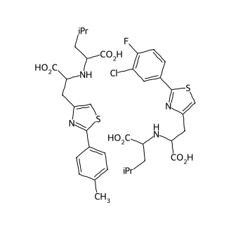 CC(C)CC(NC(Cc1csc(-c2ccc(F)c(Cl)c2)n1)C(=O)O)C(=O)O.Cc1ccc(-c2nc(CC(NC(CC(C)C)C(=O)O)C(=O)O)cs2)cc1